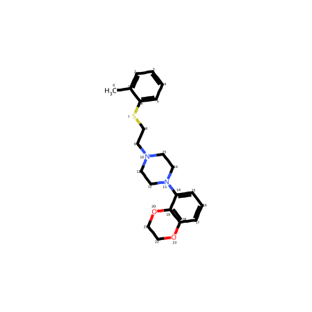 Cc1ccccc1SCCN1CCN(c2cccc3c2OCCO3)CC1